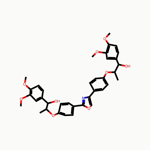 COc1ccc(C(O)C(C)Oc2ccc(-c3coc(-c4ccc(OC(C)C(O)c5ccc(OC)c(OC)c5)cc4)n3)cc2)cc1OC